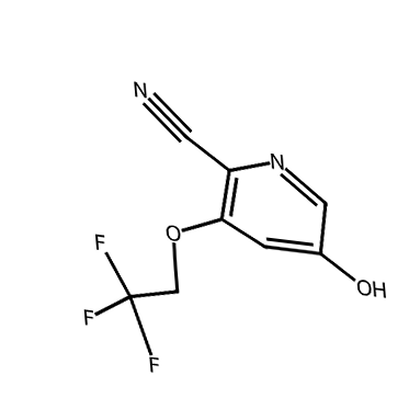 N#Cc1ncc(O)cc1OCC(F)(F)F